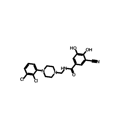 N#Cc1cc(C(=O)NCN2CCN(c3cccc(Cl)c3Cl)CC2)cc(O)c1O